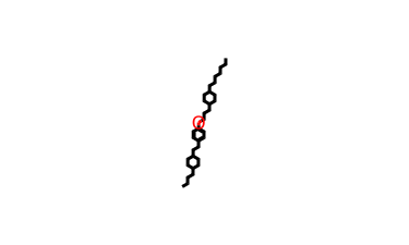 CCCCCCCC1CCC(CCCOc2ccc(CCC3CCC(CCCC)CC3)cc2)CC1